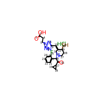 Cl.O=C(O)CCn1nnc(/C=C2\CN(C(C(=O)C3CC3)c3ccccc3F)CCC2S)n1